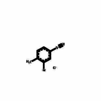 Cc1ccc([N+]#N)cc1Br.[Cl-]